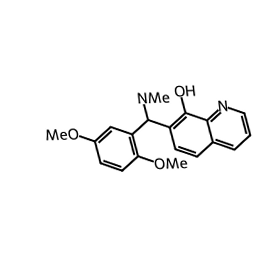 CNC(c1cc(OC)ccc1OC)c1ccc2cccnc2c1O